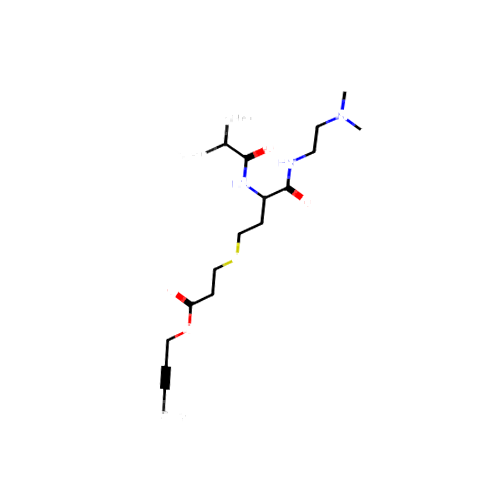 CCCCCCCC#CCOC(=O)CCSCCC(NC(=O)C(CCCCCC)CCCCCCCC)C(=O)NCCN(C)C